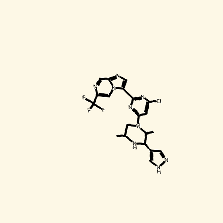 CC1CN(c2cc(Cl)nc(-c3cnc4cnc(C(F)(F)F)cn34)n2)C(C)C(c2cn[nH]c2)N1